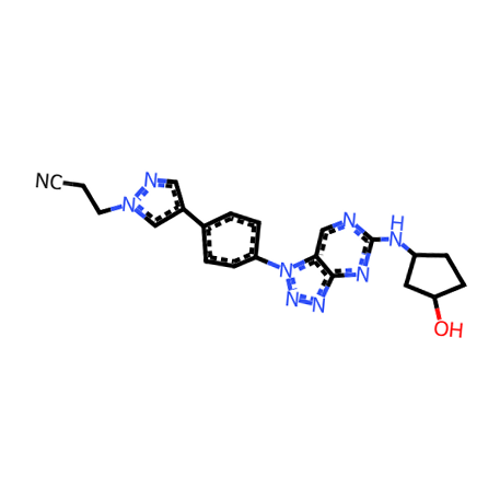 N#CCCn1cc(-c2ccc(-n3nnc4nc(NC5CCC(O)C5)ncc43)cc2)cn1